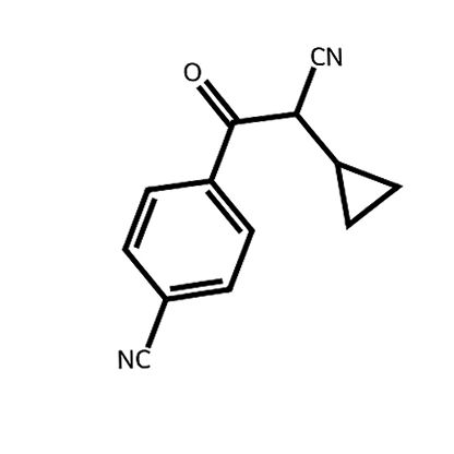 N#Cc1ccc(C(=O)C(C#N)C2CC2)cc1